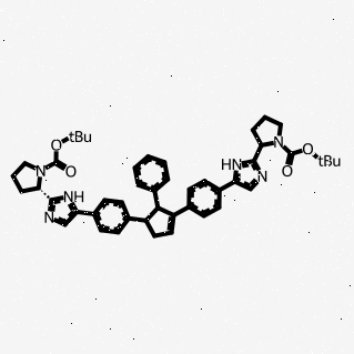 CC(C)(C)OC(=O)N1CCCC1c1ncc(-c2ccc(C3=CCC(c4ccc(-c5cnc([C@@H]6CCCN6C(=O)OC(C)(C)C)[nH]5)cc4)C3c3ccccc3)cc2)[nH]1